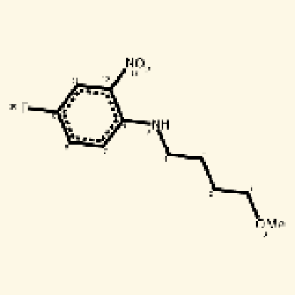 COCCCCNc1ccc(F)cc1[N+](=O)[O-]